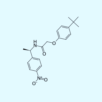 C[C@@H](NC(=O)COc1ccc(C(C)(C)C)cc1)c1ccc([N+](=O)[O-])cc1